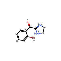 O=C(C1=NCCN1)c1ccccc1Br